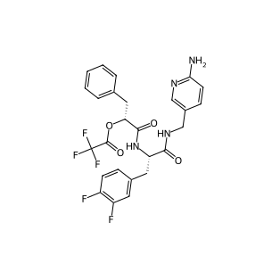 Nc1ccc(CNC(=O)[C@H](Cc2ccc(F)c(F)c2)NC(=O)[C@@H](Cc2ccccc2)OC(=O)C(F)(F)F)cn1